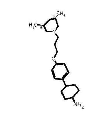 C[C@H]1C[C@H](C)CN(CCCOc2ccc(C3CCC(N)CC3)cc2)C1